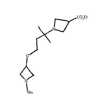 CCOC(=O)C1CN(C(C)(C)CCOC2CN(C(C)(C)C)C2)C1